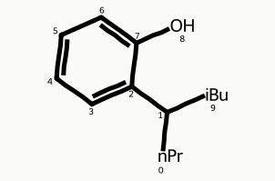 CCCC(c1ccccc1O)C(C)CC